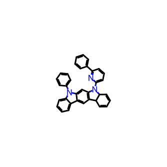 C1=CC2c3cc4c5ccccc5n(-c5ccccc5)c4cc3N(c3cccc(-c4ccccc4)n3)C2C=C1